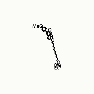 CCC(C)(C)C(=O)OCCCCCCCCCCCOc1ccc2cc(-c3ccc(OC)cc3)c(=O)oc2n1